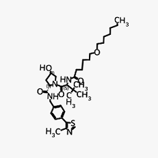 CCCCCCCOCCCCCC(=O)N[C@H](C(=O)N1C[C@H](O)C[C@H]1C(=O)NCc1ccc(-c2scnc2C)cc1)C(C)(C)C